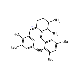 CC(C)(C)c1cc(/C=C2/CCC(N)C(N)/C2=C\c2cc(C(C)(C)C)cc(C(C)(C)C)c2O)c(O)c(C(C)(C)C)c1